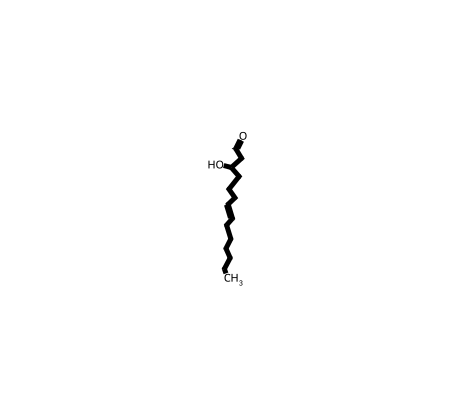 CCCCCCC=CCCCC(O)C[C]=O